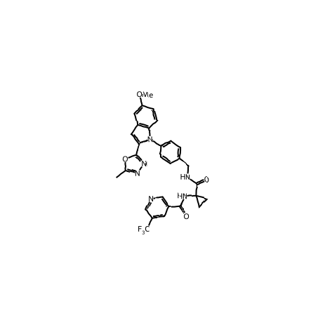 COc1ccc2c(c1)cc(-c1nnc(C)o1)n2-c1ccc(CNC(=O)C2(NC(=O)c3cncc(C(F)(F)F)c3)CC2)cc1